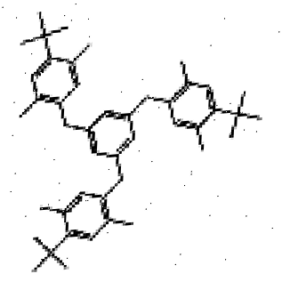 Cc1cc(C(C)(C)C)c(C)cc1Cc1cc(Cc2cc(C)c(C(C)(C)C)cc2C)cc(Cc2cc(C)c(C(C)(C)C)cc2C)c1